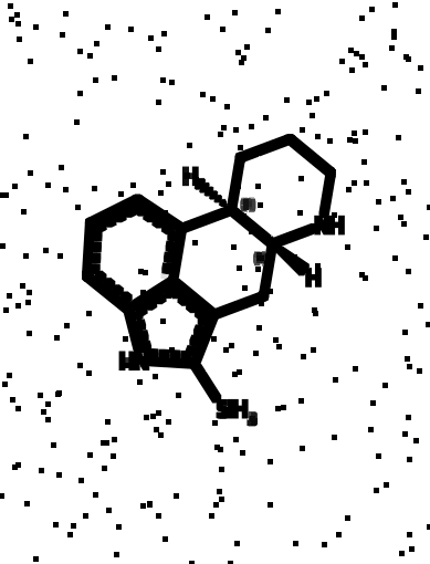 [SiH3]c1[nH]c2cccc3c2c1C[C@H]1NCCC[C@H]31